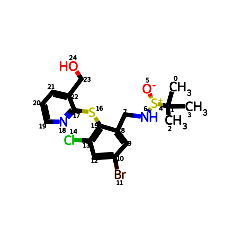 CC(C)(C)[S+]([O-])NCc1cc(Br)cc(Cl)c1Sc1ncccc1CO